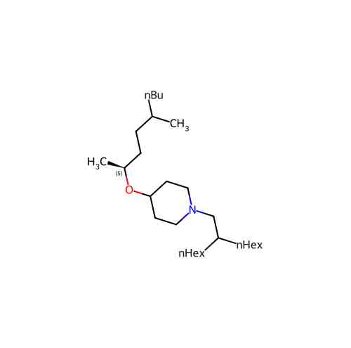 CCCCCCC(CCCCCC)CN1CCC(O[C@@H](C)CCC(C)CCCC)CC1